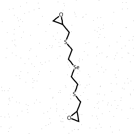 C(C[Se]CCSCC1CO1)SCC1CO1